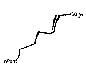 CCCCCCCCC=CS(=O)(=O)O